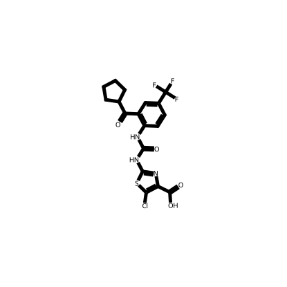 O=C(Nc1nc(C(=O)O)c(Cl)s1)Nc1ccc(C(F)(F)F)cc1C(=O)C1CCCC1